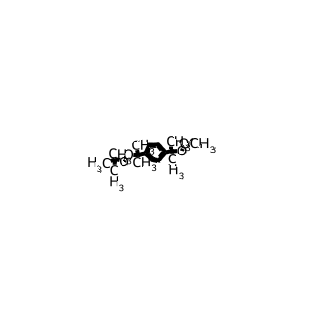 COOC(C)(C)c1ccc(C(C)(C)OOC(C)(C)C)cc1